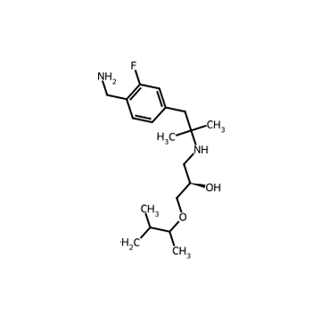 [CH2]C(C)C(C)OC[C@H](O)CNC(C)(C)Cc1ccc(CN)c(F)c1